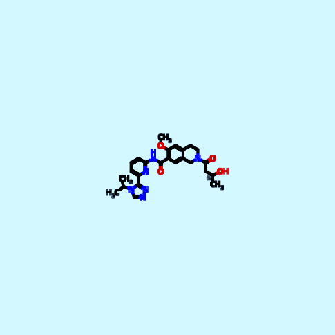 COc1cc2c(cc1C(=O)Nc1cccc(-c3nncn3C(C)C)n1)CN(C(=O)C[C@H](C)O)CC2